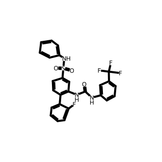 O=C(Nc1cccc(C(F)(F)F)c1)Nc1cc(S(=O)(=O)Nc2ccccc2)ccc1-c1ccccc1F